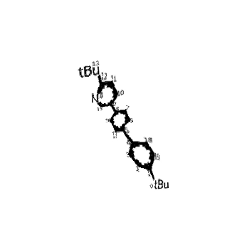 CC(C)(C)c1ccc(-c2ccc(-c3ccc(C(C)(C)C)nc3)cc2)cc1